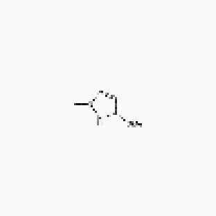 COC1C=[C]N(C)N1